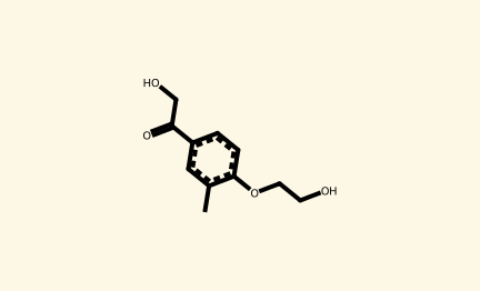 Cc1cc(C(=O)CO)ccc1OCCO